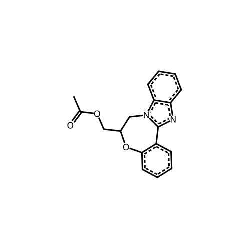 CC(=O)OCC1Cn2c(nc3ccccc32)-c2ccccc2O1